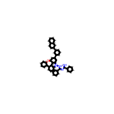 N=C(/N=C(\Nn1c2cc(-c3cccc(-c4ccc5ccccc5c4)c3)cc3oc4ccccc4c4cccc1c4c32)c1ccccc1)c1ccccc1